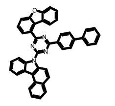 c1ccc(-c2ccc(-c3nc(-c4cccc5oc6ccccc6c45)nc(-n4c5ccccc5c5c6ccccc6ccc54)n3)cc2)cc1